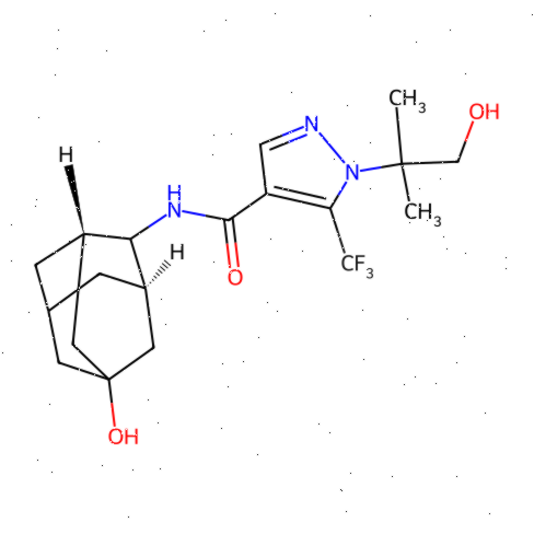 CC(C)(CO)n1ncc(C(=O)NC2[C@@H]3CC4C[C@H]2CC(O)(C4)C3)c1C(F)(F)F